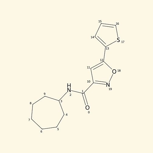 O=C(NC1CCCCCC1)c1cc(-c2cccs2)on1